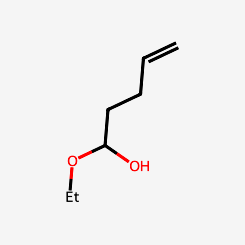 C=CCCC(O)OCC